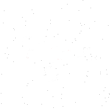 O=C(OCC(OCc1ccccc1)OCc1ccccc1)c1cccc(Br)c1